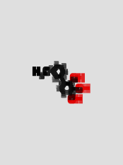 Cc1cccc(-c2ccc(O)c(O)c2O)c1